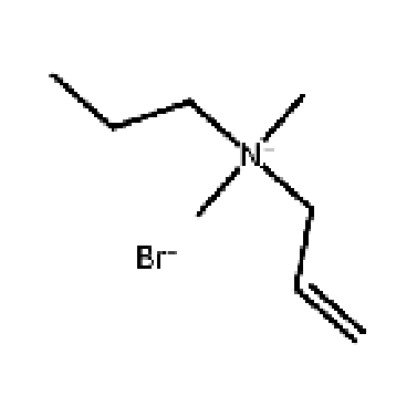 C=CC[N+](C)(C)CCC.[Br-]